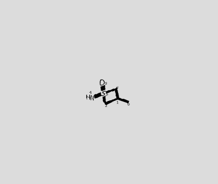 CC1CS(=N)(=O)C1